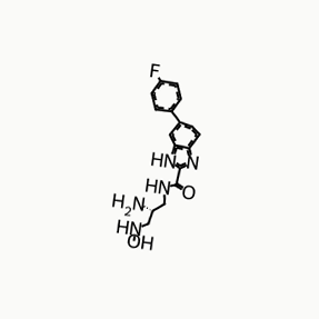 N[C@@H](CNO)CNC(=O)c1nc2ccc(-c3ccc(F)cc3)cc2[nH]1